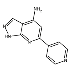 Nc1cc(-c2ccncc2)nc2[nH]ncc12